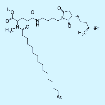 C=C(CCSC1CC(=O)N(CCCCNC(=O)CCC(C(=O)OI)N(C)C(=O)CCCCCCCCCCCCCCC(C)=O)C1=O)C(C)C